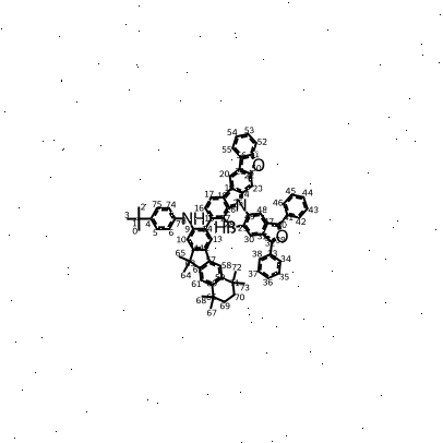 CC(C)(C)c1ccc(Nc2cc3c(cc2-c2ccc4c5cc6c(cc5n5c4c2Bc2cc4c(-c7ccccc7)oc(-c7ccccc7)c4cc2-5)oc2ccccc26)-c2cc4c(cc2C3(C)C)C(C)(C)CCC4(C)C)cc1